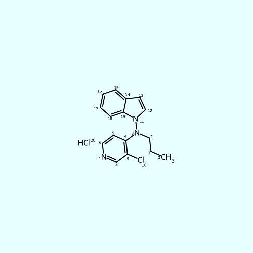 CCCN(c1ccncc1Cl)n1ccc2ccccc21.Cl